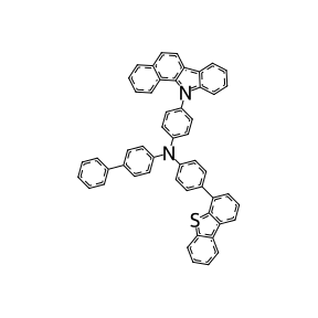 c1ccc(-c2ccc(N(c3ccc(-c4cccc5c4sc4ccccc45)cc3)c3ccc(-n4c5ccccc5c5ccc6ccccc6c54)cc3)cc2)cc1